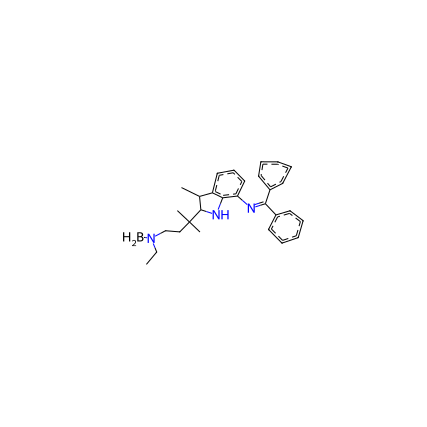 BN(CC)CCC(C)(C)C1Nc2c(N=C(c3ccccc3)c3ccccc3)cccc2C1C